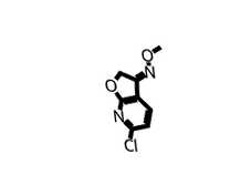 CON=C1COc2nc(Cl)ccc21